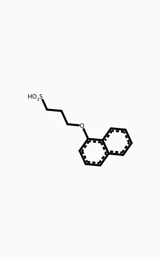 O=S(=O)(O)CCCOc1[c]ccc2ccccc12